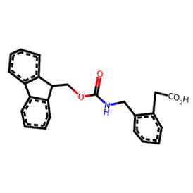 O=C(O)Cc1ccccc1CNC(=O)OCC1c2ccccc2-c2ccccc21